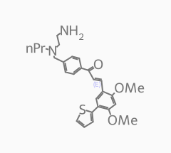 CCCN(CCN)Cc1ccc(C(=O)/C=C/c2cc(-c3cccs3)c(OC)cc2OC)cc1